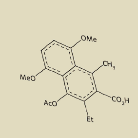 CCc1c(C(=O)O)c(C)c2c(OC)ccc(OC)c2c1OC(C)=O